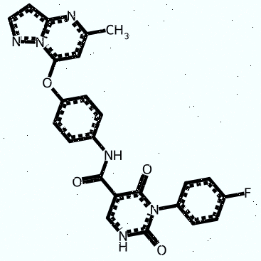 Cc1cc(Oc2ccc(NC(=O)c3c[nH]c(=O)n(-c4ccc(F)cc4)c3=O)cc2)n2nccc2n1